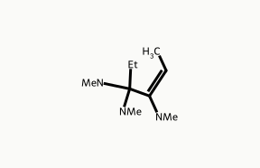 CC=C(NC)C(CC)(NC)NC